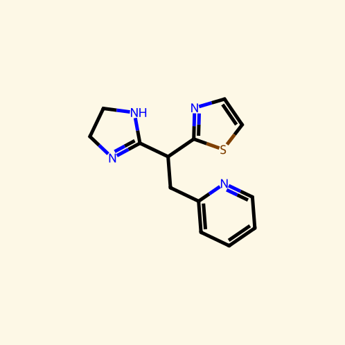 c1ccc(CC(C2=NCCN2)c2nccs2)nc1